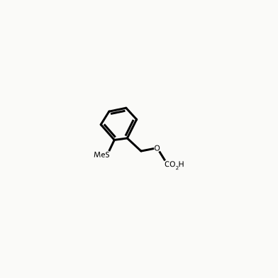 CSc1ccccc1COC(=O)O